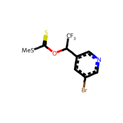 CSC(=S)OC(c1cncc(Br)c1)C(F)(F)F